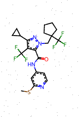 CSc1cc(NC(=O)c2c(C(F)(F)F)c(C3CC3)nn2CC2(C(F)(F)F)CCCC2)ccn1